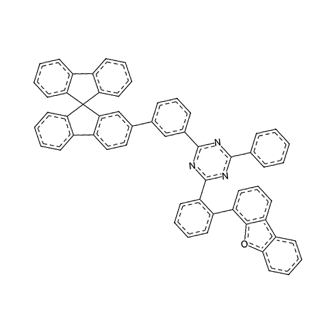 c1ccc(-c2nc(-c3cccc(-c4ccc5c(c4)C4(c6ccccc6-c6ccccc64)c4ccccc4-5)c3)nc(-c3ccccc3-c3cccc4c3oc3ccccc34)n2)cc1